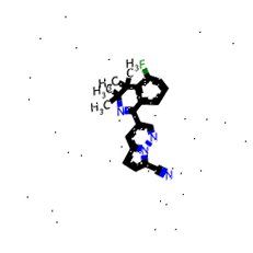 CC1(C)N=C(c2cnn3c(C#N)ccc3c2)c2cccc(F)c2C1(C)C